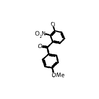 COc1ccc(C(=O)c2cccc(Cl)c2[N+](=O)[O-])cc1